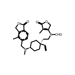 C=C[C@]1(CCN(C=O)C2=C(C)C(=O)OC2)CC[C@H](N(C)Cc2ccc3c(c2C)COC3=O)CC1